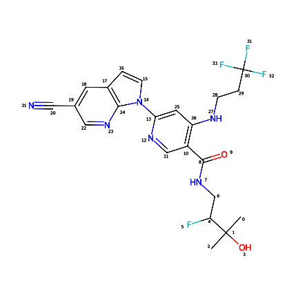 CC(C)(O)C(F)CNC(=O)c1cnc(-n2ccc3cc(C#N)cnc32)cc1NCCC(F)(F)F